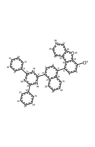 Clc1ccc(-c2ccc(-c3nc(-c4ccccc4)nc(-c4ccccc4)n3)c3ccccc23)c2c1oc1cnccc12